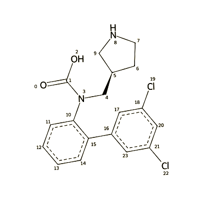 O=C(O)N(C[C@@H]1CCNC1)c1ccccc1-c1cc(Cl)cc(Cl)c1